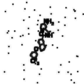 CC(NC(=O)c1ccc2c(Oc3ccc(C(F)(F)F)cc3)cccc2c1)c1cc(N)ccn1